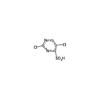 O=S(=O)(O)c1nc(Cl)ncc1Cl